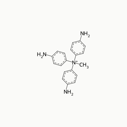 C[N+](c1ccc(N)cc1)(c1ccc(N)cc1)c1ccc(N)cc1